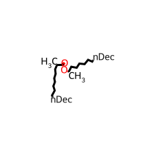 CCCCCCCCCCCCCCCCCC(C)C(=O)OC(C)CCCCCCCCCCCCCCCC